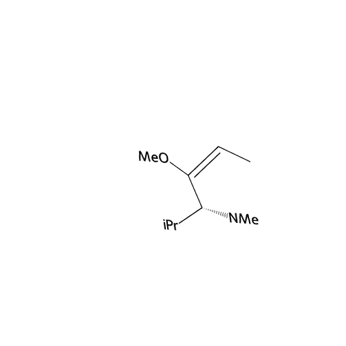 CC=C(OC)[C@H](NC)C(C)C